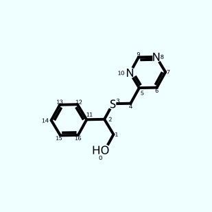 OCC(SCc1ccncn1)c1ccccc1